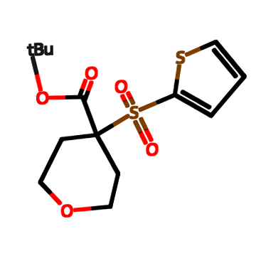 CC(C)(C)OC(=O)C1(S(=O)(=O)c2cccs2)CCOCC1